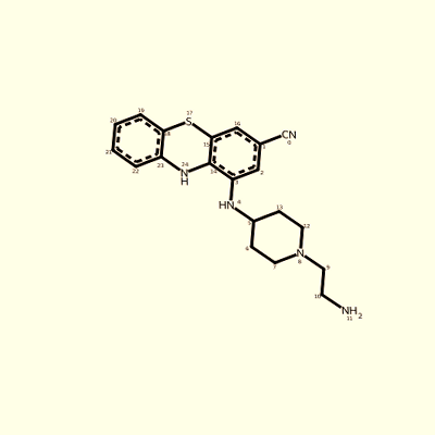 N#Cc1cc(NC2CCN(CCN)CC2)c2c(c1)Sc1ccccc1N2